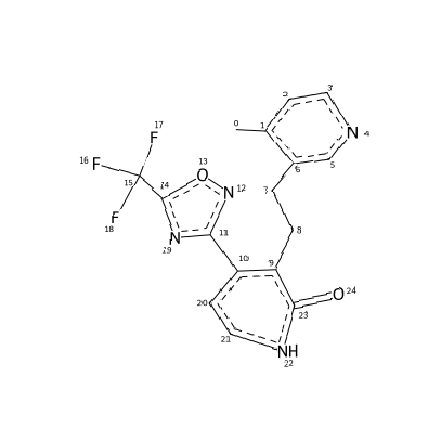 Cc1ccncc1CCc1c(-c2noc(C(F)(F)F)n2)cc[nH]c1=O